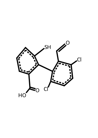 O=Cc1c(Cl)ccc(Cl)c1-c1c(S)cccc1C(=O)O